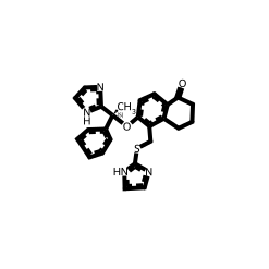 C[C@](Oc1ccc2c(c1CSc1ncc[nH]1)CCCC2=O)(c1ccccc1)c1ncc[nH]1